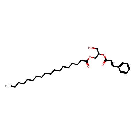 CCCCCCCCCCCCCCCCCC(=O)OCC(CO)OC(=O)/C=C/c1ccccc1